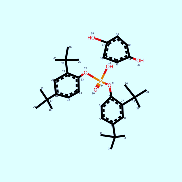 CC(C)(C)c1ccc(OP(=O)(O)Oc2ccc(C(C)(C)C)cc2C(C)(C)C)c(C(C)(C)C)c1.Oc1ccc(O)cc1